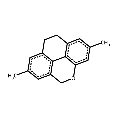 Cc1cc2c3c(c1)COc1cc(C)cc(c1-3)CC2